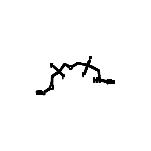 CC(C)(C)NCC(F)(F)COCC(F)(F)COC(C)(C)C